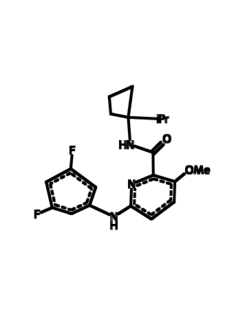 COc1ccc(Nc2cc(F)cc(F)c2)nc1C(=O)NC1(C(C)C)CCC1